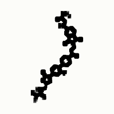 NC(=O)CNc1ccc2c(c1)C(=O)N(CCC(=O)N1CCN(c3ccc(N4C[C@H](CNC(=S)C(F)F)OC4=O)cc3F)CC1)C2=O